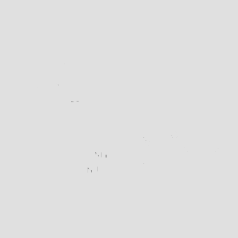 N.N.O=COC(=O)CCCCC(=O)O